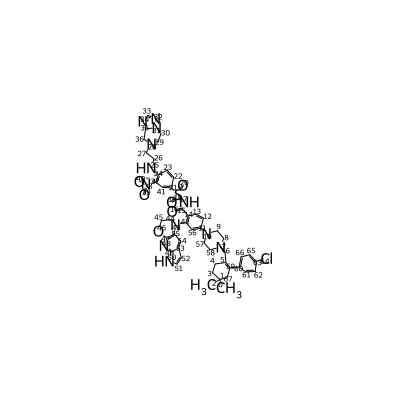 CC1(C)CCC(CN2CCN(c3ccc(C(=O)NS(=O)(=O)c4ccc(NCCN5CCn6ncnc6C5)c([N+](=O)[O-])c4)c(N4CCOc5nc6[nH]ccc6cc54)c3)CC2)=C(c2ccc(Cl)cc2)C1